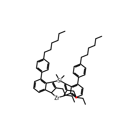 CCCCCCc1ccc(-c2cccc3c2C2=C(CCCC)[CH]3[Zr][CH]3C(CCCC)=C(c4c(-c5ccc(CCCCCC)cc5)cccc43)[Si]2(C)C)cc1